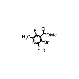 COC(C)c1c(Br)c(C)nc(C)c1Br